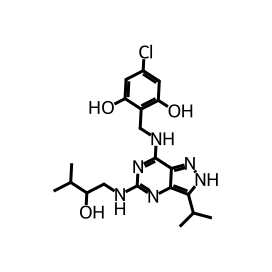 CC(C)c1[nH]nc2c(NCc3c(O)cc(Cl)cc3O)nc(NCC(O)C(C)C)nc12